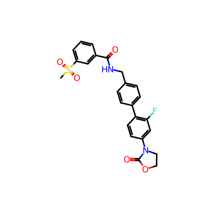 CS(=O)(=O)c1cccc(C(=O)NCc2ccc(-c3ccc(N4CCOC4=O)cc3F)cc2)c1